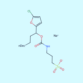 CCCCCCCCCCCCC(OC(=O)NCCCS(=O)(=O)[O-])c1ccc(Cl)o1.[Na+]